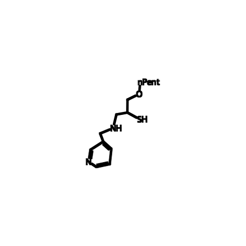 CCCCCOCC(S)CNCc1cccnc1